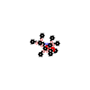 O=C(N[C@@H]1Cc2c(OCc3ccccc3)cc(OCc3ccccc3)cc2O[C@@H]1c1cc(OCc2ccccc2)c(OCc2ccccc2)c(OCc2ccccc2)c1)c1cc(OCc2ccccc2)c(OCc2ccccc2)c(OCc2ccccc2)c1